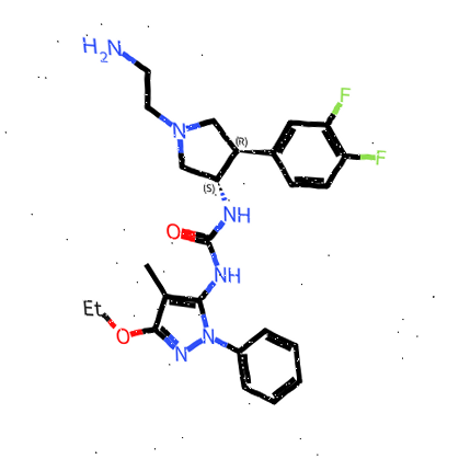 CCOc1nn(-c2ccccc2)c(NC(=O)N[C@@H]2CN(CCN)C[C@H]2c2ccc(F)c(F)c2)c1C